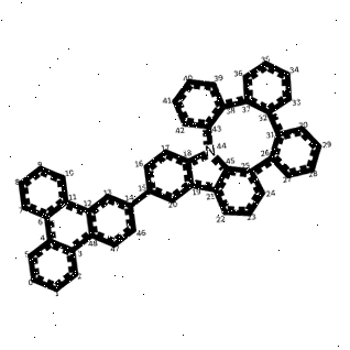 c1ccc2c(c1)c1ccccc1c1cc(-c3ccc4c(c3)c3cccc5c6ccccc6c6ccccc6c6ccccc6n4c53)ccc21